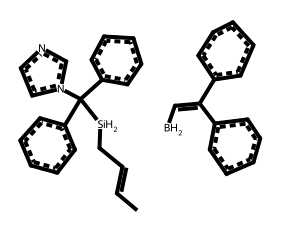 BC=C(c1ccccc1)c1ccccc1.CC=CC[SiH2]C(c1ccccc1)(c1ccccc1)n1ccnc1